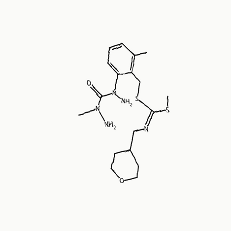 CSC(=NCC1CCOCC1)SCc1c(C)cccc1N(N)C(=O)N(C)N